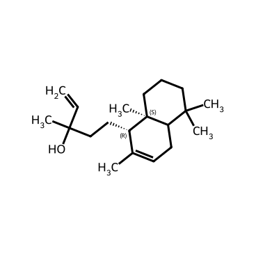 C=CC(C)(O)CC[C@H]1C(C)=CCC2C(C)(C)CCC[C@@]21C